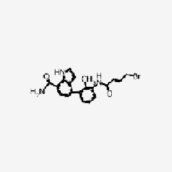 Cc1c(NC(=O)C=CCBr)cccc1-c1ccc(C(N)=O)c2[nH]ccc12